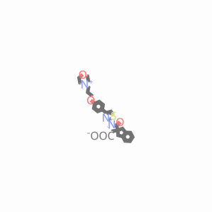 CN(C(=O)C1(CC(=O)[O-])Cc2ccccc2C1)c1nc(-c2ccc(OCCC[N+]3(C)CCOCC3)cc2)cs1